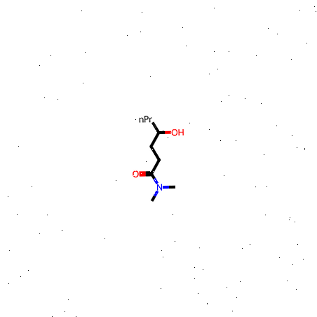 CCCC(O)CCC(=O)N(C)C